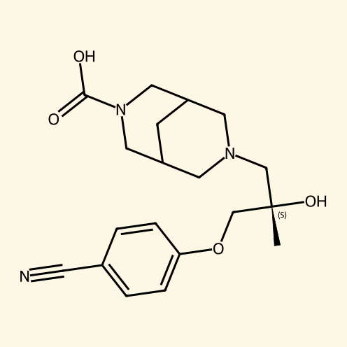 C[C@@](O)(COc1ccc(C#N)cc1)CN1CC2CC(C1)CN(C(=O)O)C2